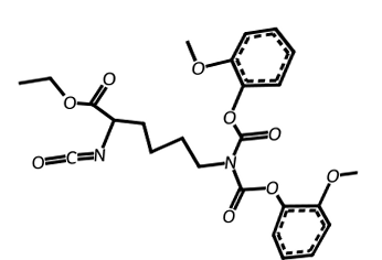 CCOC(=O)C(CCCCN(C(=O)Oc1ccccc1OC)C(=O)Oc1ccccc1OC)N=C=O